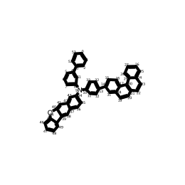 c1ccc(-c2cccc(N(c3ccc(-c4ccc5c(ccc6ccc7ccccc7c65)c4)cc3)c3ccc4cc5c(cc4c3)oc3ccccc35)c2)cc1